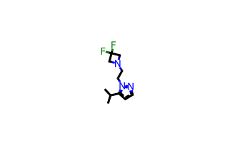 CC(C)c1ccnn1CCN1CC(F)(F)C1